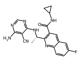 C[C@H](Nc1ncnc(N)c1C#N)c1nc2ccc(F)cc2cc1C(=O)NC1CC1